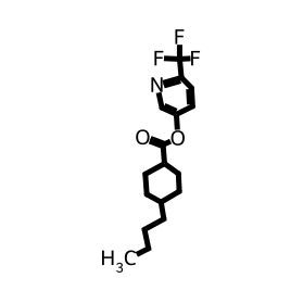 CCCCC1CCC(C(=O)Oc2ccc(C(F)(F)F)nc2)CC1